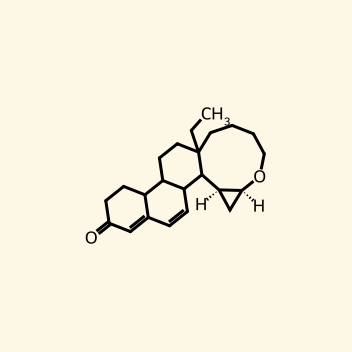 CCC12CCCCO[C@H]3C[C@H]3C1C1C=CC3=CC(=O)CCC3C1CC2